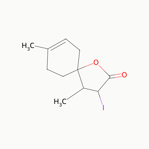 CC1=CCC2(CC1)OC(=O)C(I)C2C